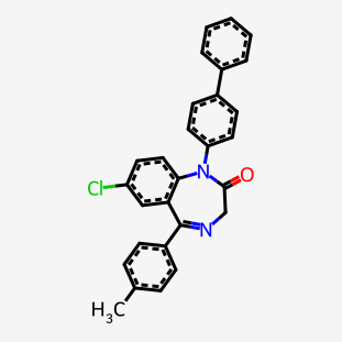 Cc1ccc(C2=NCC(=O)N(c3ccc(-c4ccccc4)cc3)c3ccc(Cl)cc32)cc1